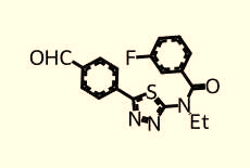 CCN(C(=O)c1cccc(F)c1)c1nnc(-c2ccc(C=O)cc2)s1